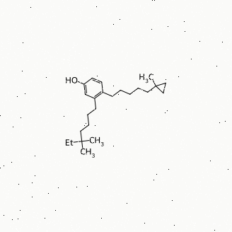 CCC(C)(C)CCCCc1cc(O)ccc1CCCCCC1(C)CC1